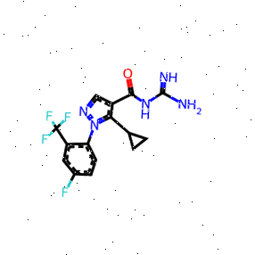 N=C(N)NC(=O)c1cnn(-c2ccc(F)cc2C(F)(F)F)c1C1CC1